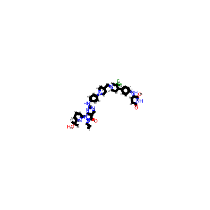 C=CCn1c(=O)c2cnc(Nc3ccc(N4CCC(CN5CCC(c6ccc(NC7CCC(=O)NC7=O)cc6)C(F)(F)C5)CC4)cc3)nc2n1-c1cccc(C(C)(C)O)n1